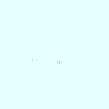 O=C1C[C@H](C(=O)O)NC(=O)N1